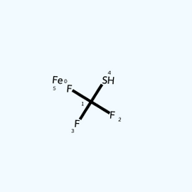 FC(F)(F)S.[Fe]